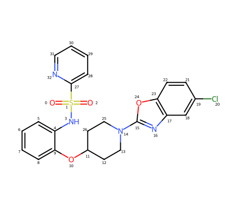 O=S(=O)(Nc1ccccc1OC1CCN(c2nc3cc(Cl)ccc3o2)CC1)c1ccccn1